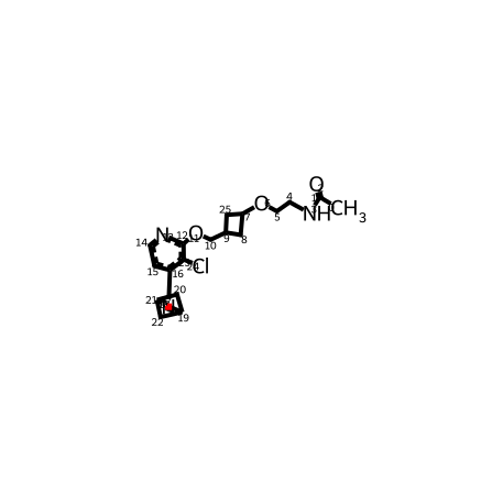 CC(=O)NCCOC1CC(COc2nccc(N3C=C4CC3C4)c2Cl)C1